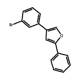 Brc1cccc(-c2coc(-c3ccccc3)c2)c1